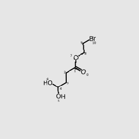 O=C(CCC(O)O)OCCBr